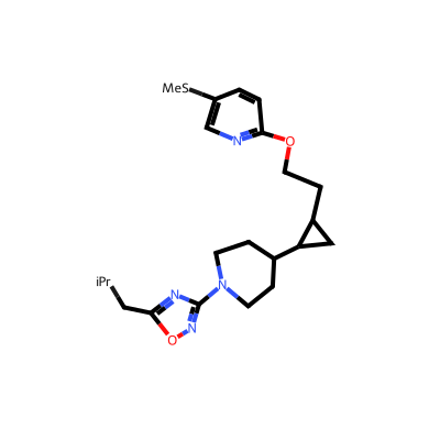 CSc1ccc(OCCC2CC2C2CCN(c3noc(CC(C)C)n3)CC2)nc1